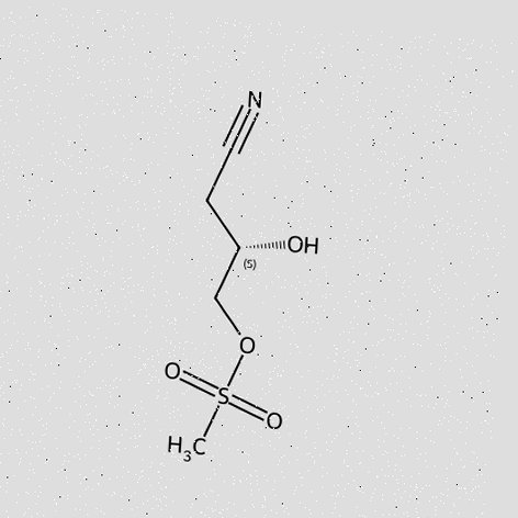 CS(=O)(=O)OC[C@@H](O)CC#N